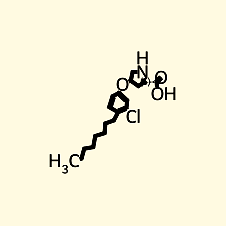 CCCCCCCCc1ccc(OC2CN[C@H](C(=O)O)C2)cc1Cl